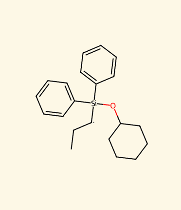 CC[CH][Si](OC1CCCCC1)(c1ccccc1)c1ccccc1